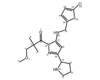 COCC(C)(C)C(=O)n1nc(C2CCCN2)cc1NCc1ccc(Cl)s1